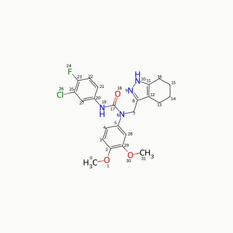 COc1ccc(N(Cc2n[nH]c3c2CCCC3)C(=O)Nc2ccc(F)c(Cl)c2)cc1OC